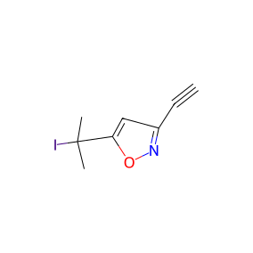 C#Cc1cc(C(C)(C)I)on1